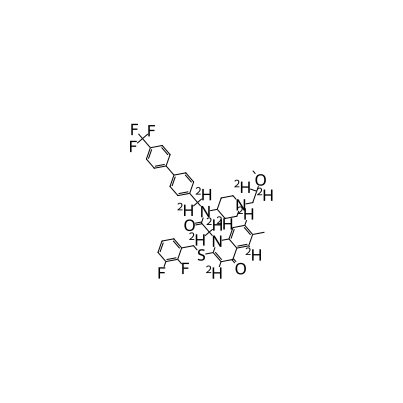 [2H]c1c(C)c([2H])c2c(=O)c([2H])c(SCc3cccc(F)c3F)n(C([2H])([2H])C(=O)N(C3CCN(CC([2H])([2H])OC)CC3)C([2H])([2H])c3ccc(-c4ccc(C(F)(F)F)cc4)cc3)c2c1[2H]